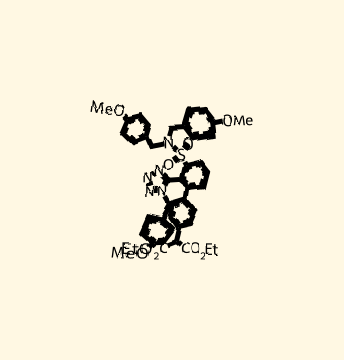 CCOC(=O)C(C(=O)OCC)c1ccc(-c2cccc(S(=O)(=O)N(Cc3ccc(OC)cc3)Cc3ccc(OC)cc3)c2-c2nnnn2Cc2ccc(OC)cc2)cc1